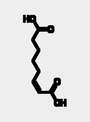 O=C(O)/C=C\CCCCC(=O)O